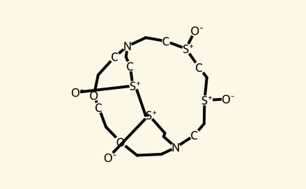 [O-][S+]1CCN2CCOCCOCCN(CC[S+]([O-])CC1)CC[S+]([O-])CC[S+]([O-])CC2